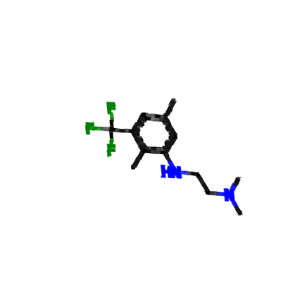 Cc1cc(NCCN(C)C)c(C)c(C(F)(F)F)c1